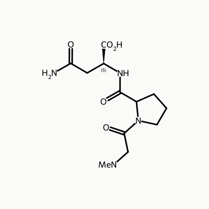 CNCC(=O)N1CCCC1C(=O)N[C@@H](CC(N)=O)C(=O)O